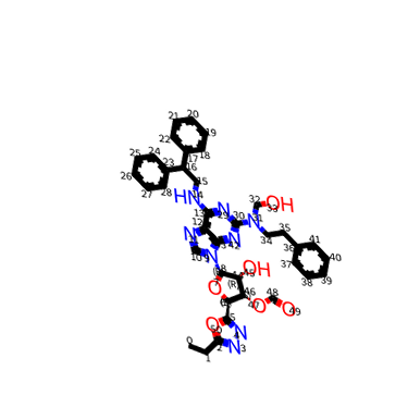 CCc1nnc([C@H]2O[C@@H](n3cnc4c(NCC(c5ccccc5)c5ccccc5)nc(N(CO)CCc5ccccc5)nc43)[C@H](O)[C@@H]2OC=O)o1